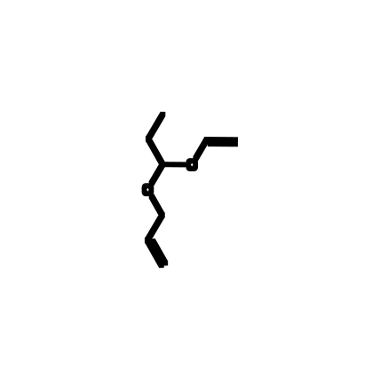 C=CCOC(CC)OC=C